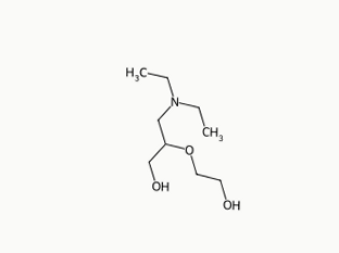 CCN(CC)CC(CO)OCCO